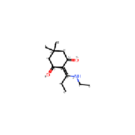 CCNC(CC)=C1C(=O)CC(C)(C)CC1=O